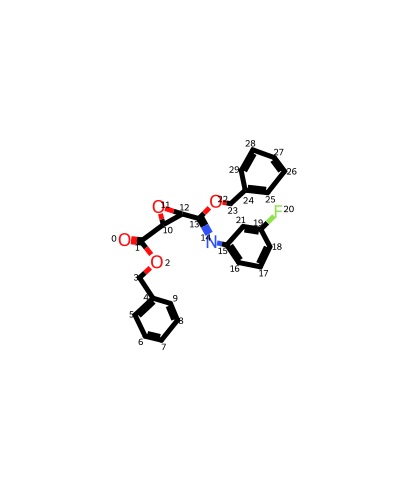 O=C(OCc1ccccc1)C1OC1C(=Nc1cccc(F)c1)OCc1ccccc1